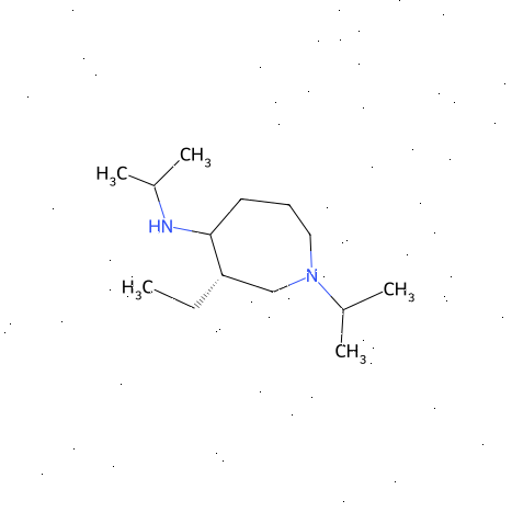 CC[C@H]1CN(C(C)C)CCCC1NC(C)C